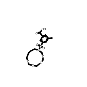 O=C(O)c1cc(I)cc(S(=O)(=O)N2CCCCCCCCCCCC2)c1